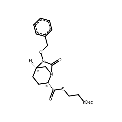 CCCCCCCCCCCCSC(=O)[C@@H]1CC[C@@H]2CN1C(=O)N2OCc1ccccc1